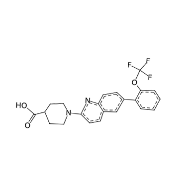 O=C(O)C1CCN(c2ccc3cc(-c4ccccc4OC(F)(F)F)ccc3n2)CC1